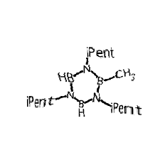 CCCC(C)N1BN(C(C)CCC)B(C)N(C(C)CCC)B1